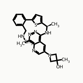 CNCc1ccccc1-c1ccc([C@@H](C)Nc2nnc(C)c3ncc(N4CC(C)(O)C4)cc23)s1